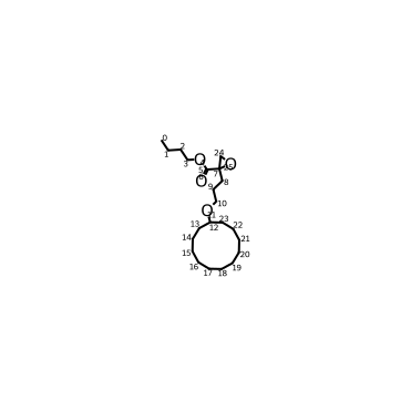 CCCCOC(=O)C1(CCCOC2CCCCCCCCCCC2)CO1